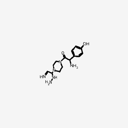 N=CC(NN)N1CCN(C(=O)C(N)c2ccc(O)cc2)CC1